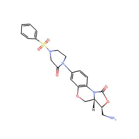 NC[C@@H]1OC(=O)N2c3ccc(N4CCN(S(=O)(=O)c5ccccc5)CC4=O)cc3OC[C@@H]12